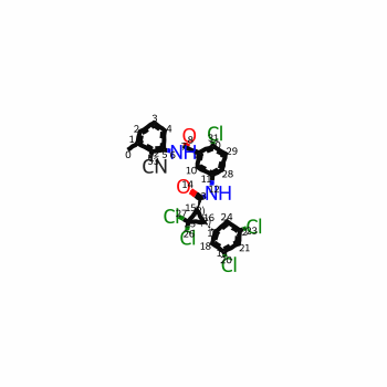 Cc1cccc(NC(=O)c2cc(NC(=O)[C@H]3[C@H](c4cc(Cl)cc(Cl)c4)C3(Cl)Cl)ccc2Cl)c1C#N